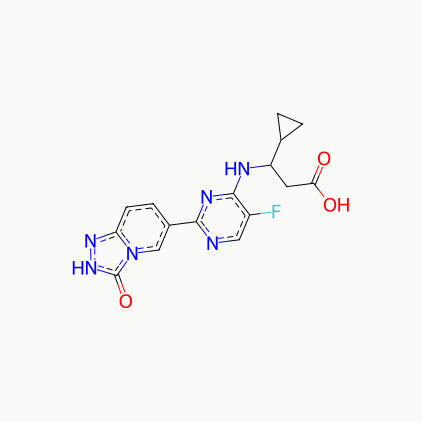 O=C(O)CC(Nc1nc(-c2ccc3n[nH]c(=O)n3c2)ncc1F)C1CC1